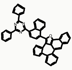 c1ccc(-c2nc(-c3ccccc3)nc(-c3ccc(-c4oc5c6c(cc7ccccc75)-c5ccccc5-c5ccccc5-c46)c4ccccc34)n2)cc1